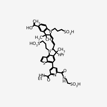 C=C(O)c1ccc2c(c1)C(C)(C)/C(=C\C=C\C1=[N+](CCCS(=O)(=O)O)c3c(cc(-c4cc(C(=O)NCC)nc(C(=O)NCCS(=O)(=O)O)c4)c4sccc34)[C@]1(C)CCC)N2CCCS(=O)(=O)O